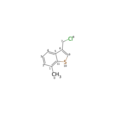 Cc1cccc2c(CCl)csc12